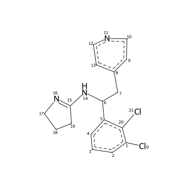 Clc1cccc(C(Cc2ccncc2)NC2=NCCC2)c1Cl